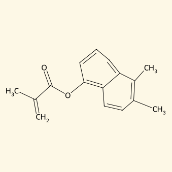 C=C(C)C(=O)Oc1cccc2c(C)c(C)ccc12